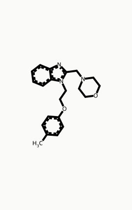 Cc1ccc(OCCn2c(CN3CCOCC3)nc3ccccc32)cc1